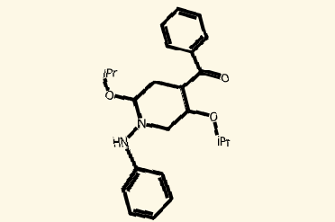 CC(C)OC1CN(Nc2ccccc2)C(OC(C)C)CC1C(=O)c1ccccc1